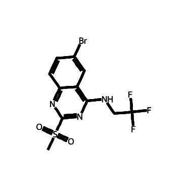 CS(=O)(=O)c1nc(NCC(F)(F)F)c2cc(Br)ccc2n1